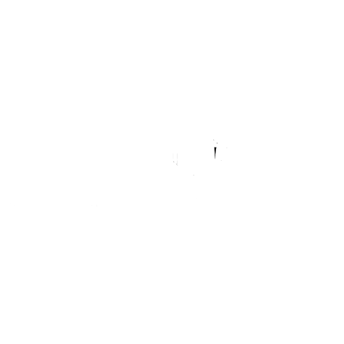 N[C@@H](COCc1ccccc1)C(=O)Nc1ccc(Oc2cccc(Cl)c2)cc1